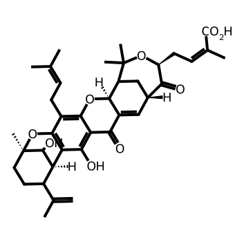 C=C(C)C1CC[C@@]2(C)Oc3c(CC=C(C)C)c4c(c(O)c3[C@@H]1C2O)C(=O)C1=C[C@@H]2CC([C@@H]1O4)C(C)(C)O[C@@H](C/C=C(/C)C(=O)O)C2=O